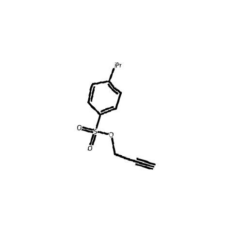 C#CCOS(=O)(=O)c1ccc(C(C)C)cc1